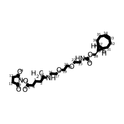 C=C(CCCC(=O)ON1C(=O)CCC1=O)NCCOCCOCCNC(=O)OC[C@@H]1[C@@H]2CCC#CCC[C@@H]21